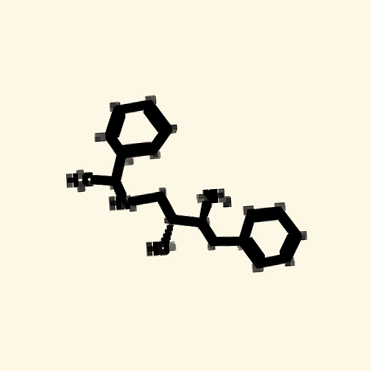 CC(NC[C@@H](O)[C@@H](N)Cc1ccccc1)c1ccccc1